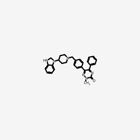 Cn1nc(-c2ccc(CN3CCC(N4[CH]Nc5ccccc54)CC3)cc2)c(-c2ccccc2)nc1=O